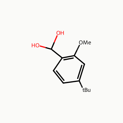 COc1cc(C(C)(C)C)ccc1C(O)O